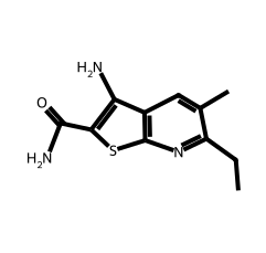 CCc1nc2sc(C(N)=O)c(N)c2cc1C